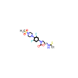 CCC(=S)NC[C@H]1CN(c2cc(F)c(N3CCN(S(C)(=O)=O)CC3)c(F)c2)C(=O)O1